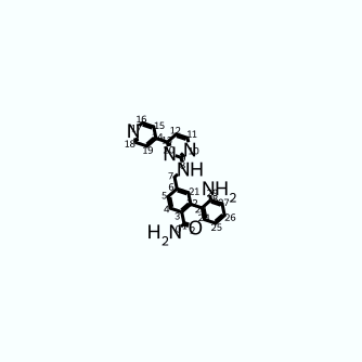 NC(=O)c1ccc(CNc2nccc(-c3ccncc3)n2)cc1-c1ccccc1N